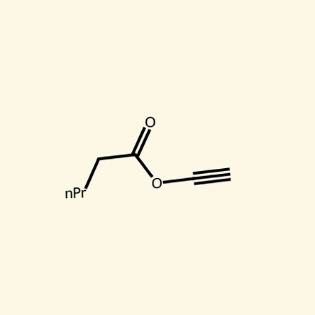 C#COC(=O)CCCC